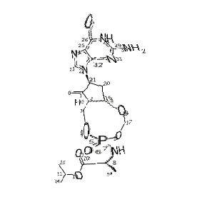 C=C1[C@@H]2COP(=O)(N[C@@H](C)C(=O)OC(C)C)OCOC2C[C@@H]1n1cnc2c(=O)[nH]c(N)nc21